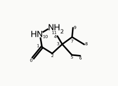 C=C(CC(C)(CC)C(C)C)NN